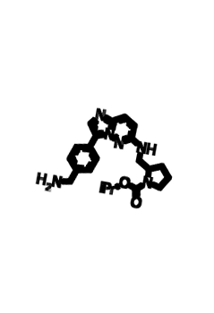 CC(C)OC(=O)N1CCCC1CNc1ccc2ncc(-c3ccc(CN)cc3)n2n1